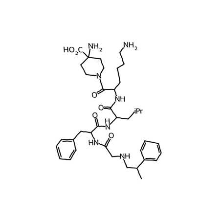 CC(C)CC(NC(=O)C(Cc1ccccc1)NC(=O)CNCC(C)c1ccccc1)C(=O)NC(CCCCN)C(=O)N1CCC(N)(C(=O)O)CC1